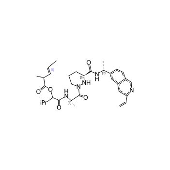 C=Cc1cc2cc([C@@H](C)NC(=O)[C@@H]3CCCN(C(=O)[C@H](C)NC(=O)C(OC(=O)C(C)/C=C/C)C(C)C)N3)ccc2cn1